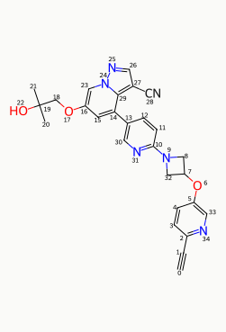 C#Cc1ccc(OC2CN(c3ccc(-c4cc(OCC(C)(C)O)cn5ncc(C#N)c45)cn3)C2)cn1